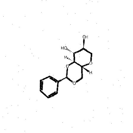 O[C@H]1[C@@H]2O[C@H](c3ccccc3)OC[C@H]2OC[C@@H]1O